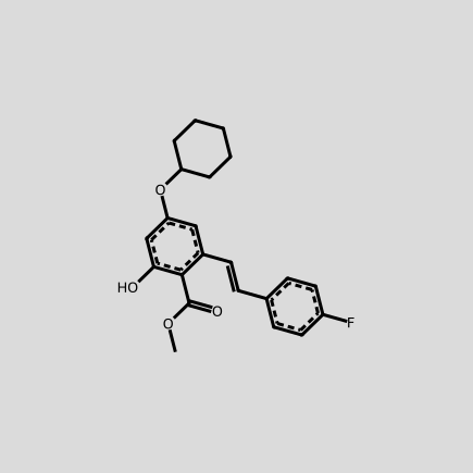 COC(=O)c1c(O)cc(OC2CCCCC2)cc1C=Cc1ccc(F)cc1